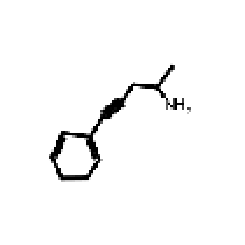 CC(N)CC#CC1=CCCC=C1